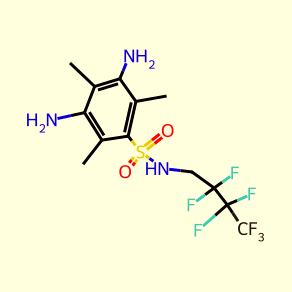 Cc1c(N)c(C)c(S(=O)(=O)NCC(F)(F)C(F)(F)C(F)(F)F)c(C)c1N